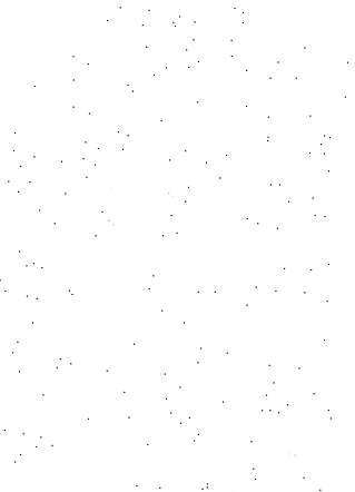 CCCCCCCCCCCCCCCCOCC(CN(CCO)C(=O)CCCCCCCCCCCCCCC)N=O